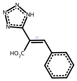 O=C(O)/C(=C\c1ccccc1)c1nnn[nH]1